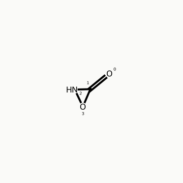 O=C1NO1